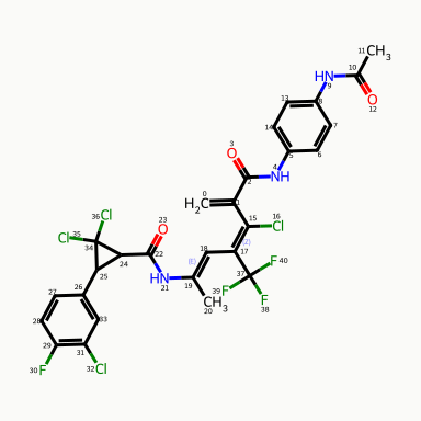 C=C(C(=O)Nc1ccc(NC(C)=O)cc1)/C(Cl)=C(\C=C(/C)NC(=O)C1C(c2ccc(F)c(Cl)c2)C1(Cl)Cl)C(F)(F)F